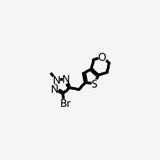 Cn1nc(Br)c(Cc2cc3c(s2)CCOC3)n1